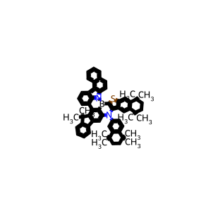 CC1(C)CCC(C)(C)c2cc(N3c4cc5c(c6c4B(c4sc7cc8c(cc7c43)C(C)(C)CCC8(C)C)n3c4ccc7ccccc7c4c4cccc-6c43)C(C)(C)c3ccccc3-5)ccc21